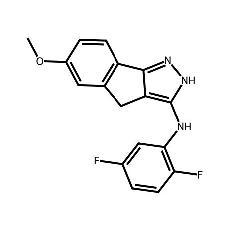 COc1ccc2c(c1)Cc1c-2n[nH]c1Nc1cc(F)ccc1F